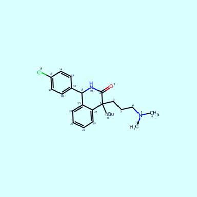 CCCCC1(CCCN(C)C)C(=O)NC(c2ccc(Cl)cc2)c2ccccc21